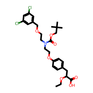 CCOC(Cc1ccc(OCCN(CCOCc2cc(Cl)cc(Cl)c2)C(=O)OCC(C)(C)C)cc1)C(=O)O